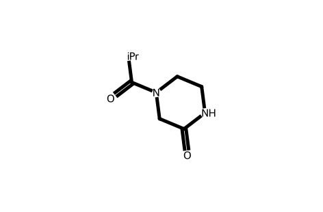 CC(C)C(=O)N1CCNC(=O)C1